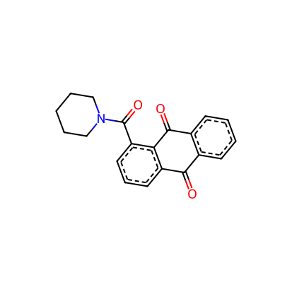 O=C1c2ccccc2C(=O)c2c1cccc2C(=O)N1CCCCC1